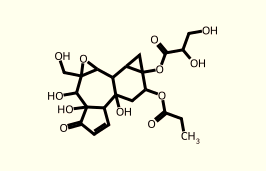 CCC(=O)OC1CC2(O)C(C3CC13OC(=O)C(O)CO)C1OC1(CO)C(O)C1(O)C(=O)C=CC21